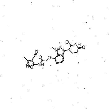 Cc1noc(NC(=O)COc2cccc3c(C4CCC(=O)NC4=O)nn(C)c23)c1C#N